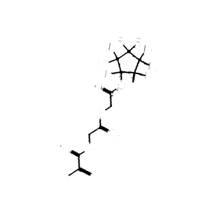 C=C(C)C(=O)OCC(=O)OCC(=O)OC1(F)C(F)(F)C(F)(F)C(F)(F)C1(F)F